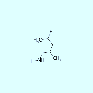 CCC(C)CC(C)CNI